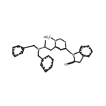 CC(CC1CC(N2C(=O)Cc3ccccc32)CCN1C(=O)O)N(Cc1ccccc1)Cc1ccccc1